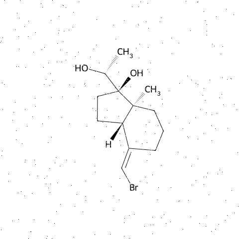 C[C@@H](O)[C@@]1(O)CC[C@H]2/C(=C/Br)CCC[C@@]21C